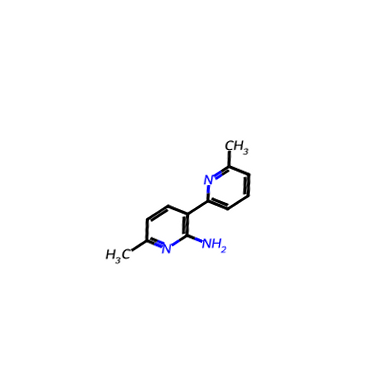 Cc1cccc(-c2ccc(C)nc2N)n1